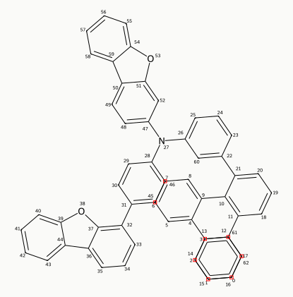 c1ccc(-c2ccccc2-c2c(-c3ccccc3)cccc2-c2cccc(N(c3ccc(-c4cccc5c4oc4ccccc45)cc3)c3ccc4c(c3)oc3ccccc34)c2)cc1